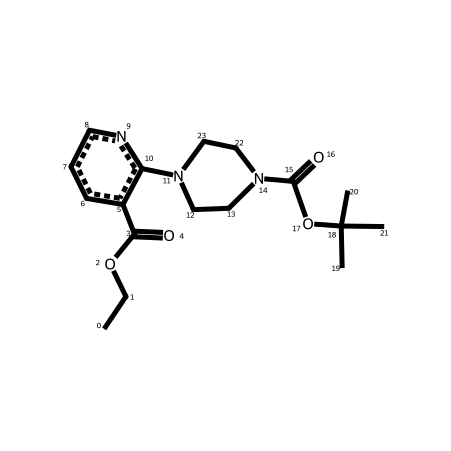 CCOC(=O)c1cccnc1N1CCN(C(=O)OC(C)(C)C)CC1